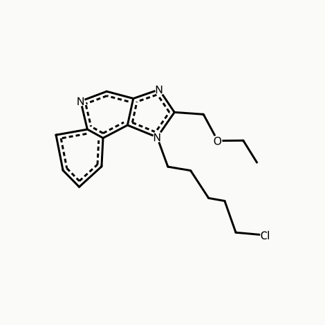 CCOCc1nc2cnc3ccccc3c2n1CCCCCCl